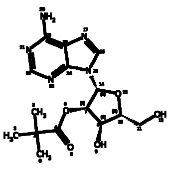 CC(C)(C)C(=O)O[C@@H]1[C@H](O)[C@@H](CO)O[C@H]1n1cnc2c(N)ncnc21